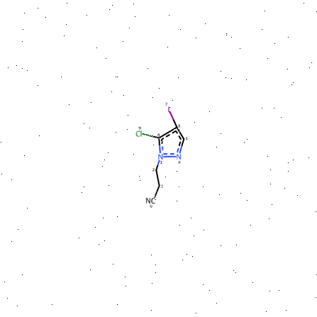 N#CCCn1ncc(I)c1Cl